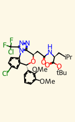 COc1cccc([C@H]2O[C@H](CC(=O)N[C@@H](CC(C)C)C(=O)OC(C)(C)C)c3nnc(C(F)(F)Cl)n3-c3ccc(Cl)cc32)c1OC